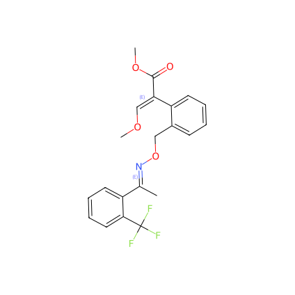 CO/C=C(/C(=O)OC)c1ccccc1CO/N=C(\C)c1ccccc1C(F)(F)F